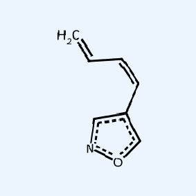 C=C/C=C\c1cnoc1